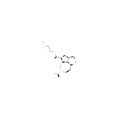 CC(=O)N1C=Cc2n[nH]cc3cc(C(=O)NCCN(C)C)c(c2-3)C1